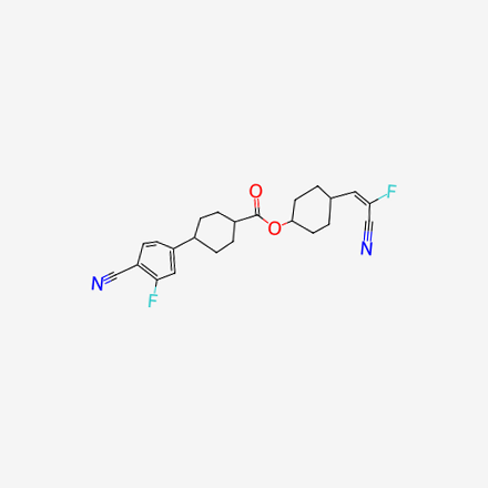 N#C/C(F)=C\C1CCC(OC(=O)C2CCC(c3ccc(C#N)c(F)c3)CC2)CC1